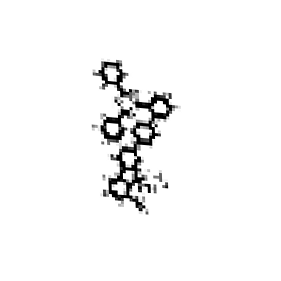 CC1(C)c2cc(-c3ccc(-c4ccccc4-c4nc(C5=CCCC=C5)nc(-c5ccccc5)n4)cc3)ccc2-c2cccc(C#N)c21